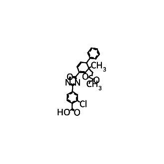 CC1(CS(C)(=O)=O)C=C(c2nc(-c3ccc(C(=O)O)c(Cl)c3)no2)C=CC1c1ccccc1